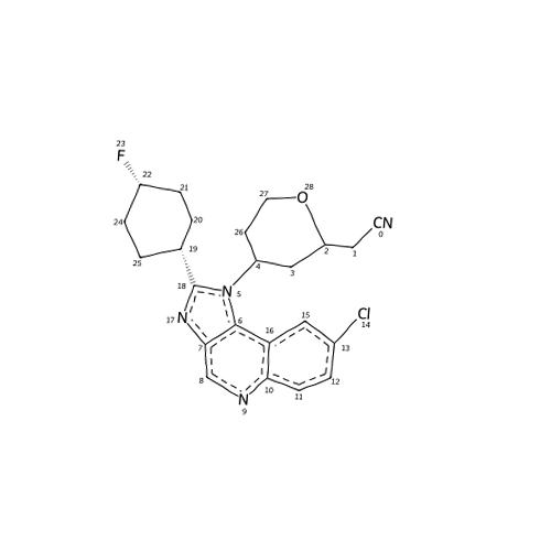 N#CCC1CC(n2c3c(cnc4ccc(Cl)cc43)nc2[C@H]2CC[C@@H](F)CC2)CCO1